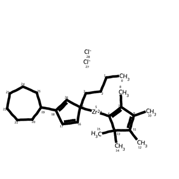 CCCC[C]1([Zr+2][C]2=C(C)C(C)=C(C)C2(C)C)C=CC(C2CCCCCC2)=C1.[Cl-].[Cl-]